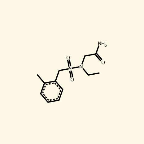 CCN(CC(N)=O)S(=O)(=O)Cc1ccccc1C